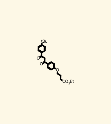 CCOC(=O)CCCOc1ccc(C(=O)CC(=O)c2ccc(C(C)(C)C)cc2)cc1